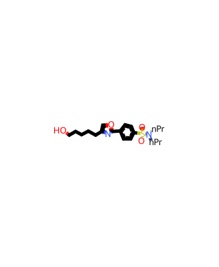 CCCN(CCC)S(=O)(=O)c1ccc(-c2nc(CCCCCO)co2)cc1